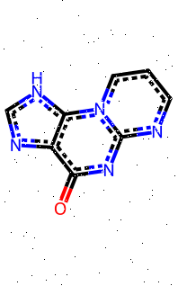 O=c1nc2ncccn2c2[nH]cnc12